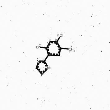 Cc1cc(-c2nccs2)c(Br)cc1Cl